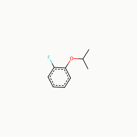 CC(C)Oc1ccccc1F